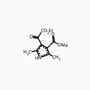 CCOC(=O)C(=O)c1c(C)[nH]c(C)c1C(=O)OC